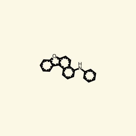 c1ccc(Nc2cccc3c2ccc2oc4ccccc4c23)cc1